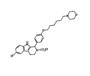 CCOC(=O)N1CCc2c([nH]c3ccc(Cl)cc23)C1c1ccc(OCCCCCCN2CCOCC2)cc1